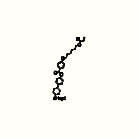 C=CC(=O)OCCCCCCOc1ccc(C(=O)Oc2ccc(C3CCC(CCCCCCC)CC3)cc2)cc1